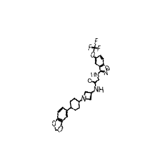 O=C(CNc1noc2ccc(OC(F)(F)F)cc12)NC1CN(C2CCC(c3ccc4c(c3)OCO4)CC2)C1